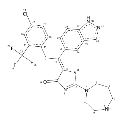 O=C1N=C(N2CCCNCC2)SC1=C(Cc1ccc(Cl)cc1C(F)(F)F)c1ccc2[nH]ncc2c1